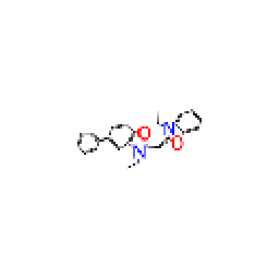 CCN1C(=Cc2oc3ccc(-c4ccccc4)cc3[n+]2CC)Oc2ccccc21